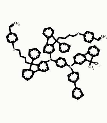 C=Cc1ccc(OCCCCC2(c3ccccc3)c3ccccc3-c3ccc(N(c4ccc(N(c5ccc(-c6ccccc6)cc5)c5ccc6c(c5)C(C)(C)c5ccccc5-6)cc4)c4ccc5c(c4)C(CCCCOc4ccc(C=C)cc4)(c4ccccc4)c4ccccc4-5)cc32)cc1